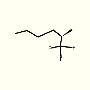 CCCC[C@@H](C)C(F)(F)F